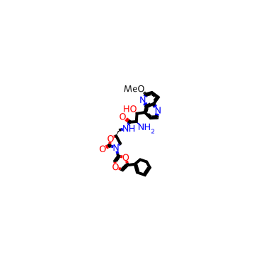 COc1ccc2nccc([C@H](O)[C@H](N)C(=O)NC[C@@H]3CN(C4=COC=C(C5=CC=CCC5)O4)C(=O)O3)c2n1